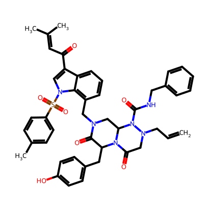 C=CCN1CC(=O)N2C(Cc3ccc(O)cc3)C(=O)N(Cc3cccc4c(C(=O)C=C(C)C)cn(S(=O)(=O)c5ccc(C)cc5)c34)CC2N1C(=O)NCc1ccccc1